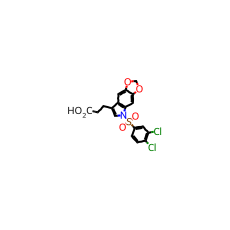 O=C(O)CCc1cn(S(=O)(=O)c2ccc(Cl)c(Cl)c2)c2cc3c(cc12)OCO3